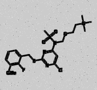 COc1cccc(CSc2nc(Cl)cc(N(COCC[Si](C)(C)C)S(C)(=O)=O)n2)c1F